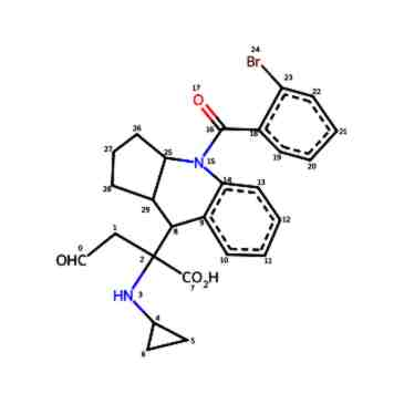 O=CCC(NC1CC1)(C(=O)O)C1c2ccccc2N(C(=O)c2ccccc2Br)C2CCCC21